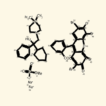 COS(=O)(=O)[O-].C[N+]1(C)CCN(CC(O)(c2ccccc2)C2CCCCC2)CC1.O=C([O-])c1ccccc1-c1c2cc(Br)c(=O)c(Br)c-2oc2c(Br)c([O-])c(Br)cc12.[Na+].[Na+]